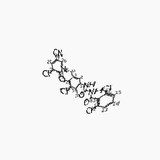 Cc1cc(NC(=O)NC(=O)c2c(Cl)cccc2Cl)c(C)c(Cl)c1Oc1ncc(C#N)cc1Cl